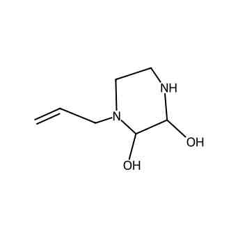 C=CCN1CCNC(O)C1O